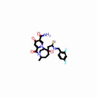 CC1CCC2(CC(Br)N(Cc3ccc(F)cc3F)O2)C2CN1C(=O)c1cc(=O)c(C(N)=O)cn12